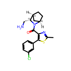 Cc1nc(C(=O)N2[C@@H]3CC[C@@H](C3)[C@H]2CN)c(-c2cccc(Cl)c2)s1